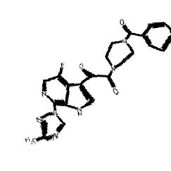 Cc1ncn(-c2ncc(F)c3c(C(=O)C(=O)N4CCN(C(=O)c5ccccc5)CC4)c[nH]c23)n1